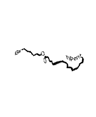 CCCCC/C=C\C/C=C\CCCCCCCC(=O)OCCCCCCBr